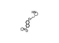 O=C(c1ccc2cc(OCCCC3CCCNC3)ccc2c1)N1CCCC1